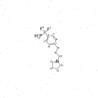 FC(F)(P)c1ccc(CCCN2CCCC2)cc1